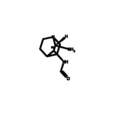 N[C@@H]1C(NC=O)C2CCN1CC2